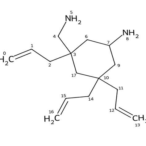 C=CCC1(CN)CC(N)CC(CC=C)(CC=C)C1